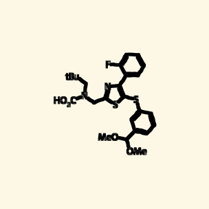 COC(OC)c1cccc(Sc2sc(CN(CC(C)(C)C)C(=O)O)nc2-c2ccccc2F)c1